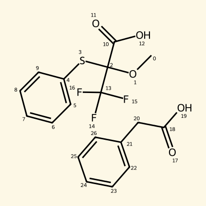 COC(Sc1ccccc1)(C(=O)O)C(F)(F)F.O=C(O)Cc1ccccc1